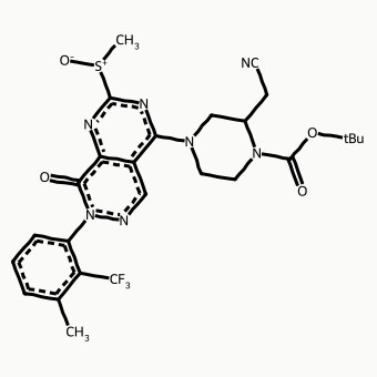 Cc1cccc(-n2ncc3c(N4CCN(C(=O)OC(C)(C)C)C(CC#N)C4)nc([S+](C)[O-])nc3c2=O)c1C(F)(F)F